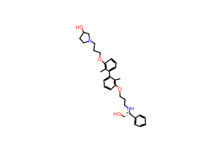 Cc1c(OCCCN[C@@H](CO)c2ccccc2)cccc1-c1cccc(OCCCN2CCC(O)C2)c1C